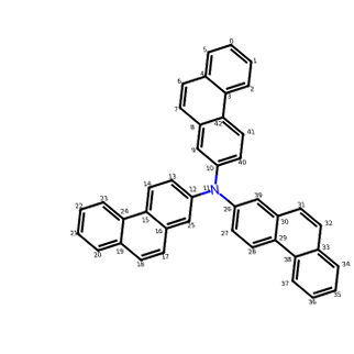 c1ccc2c(c1)ccc1cc(N(c3ccc4c(ccc5ccccc54)c3)c3ccc4c(ccc5ccccc54)c3)ccc12